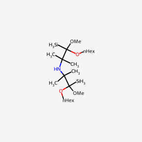 CCCCCCOC([SiH3])(OC)C(C)(C)NC(C)(C)C([SiH3])(OC)OCCCCCC